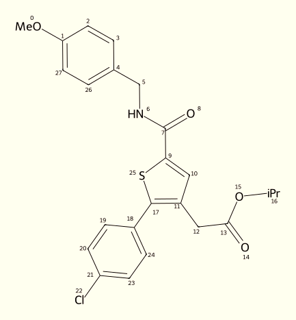 COc1ccc(CNC(=O)c2cc(CC(=O)OC(C)C)c(-c3ccc(Cl)cc3)s2)cc1